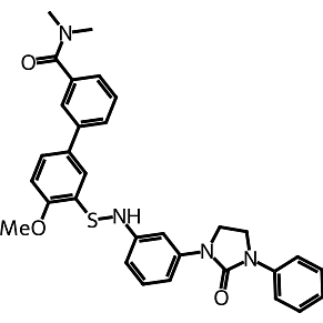 COc1ccc(-c2cccc(C(=O)N(C)C)c2)cc1SNc1cccc(N2CCN(c3ccccc3)C2=O)c1